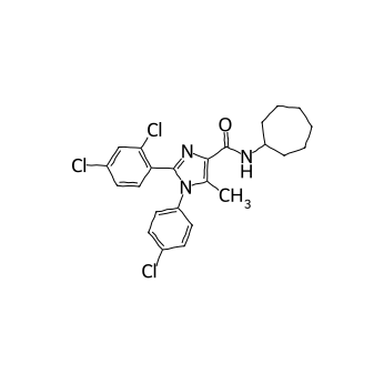 Cc1c(C(=O)NC2CCCCCC2)nc(-c2ccc(Cl)cc2Cl)n1-c1ccc(Cl)cc1